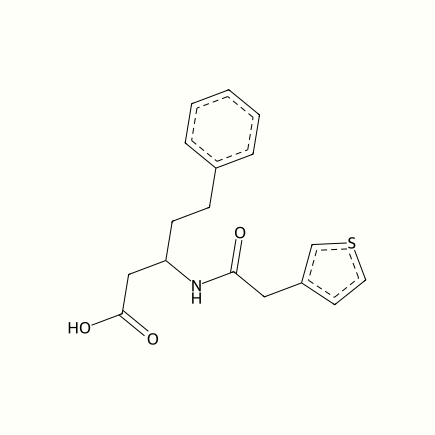 O=C(O)CC(CCc1ccccc1)NC(=O)Cc1ccsc1